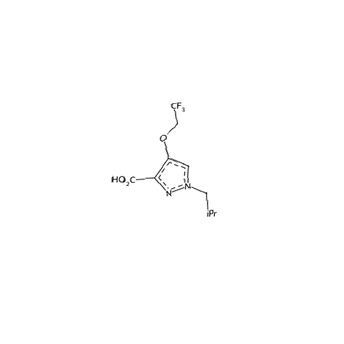 CC(C)Cn1cc(OCC(F)(F)F)c(C(=O)O)n1